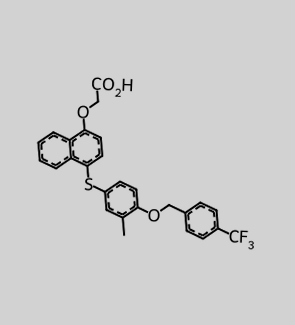 Cc1cc(Sc2ccc(OCC(=O)O)c3ccccc23)ccc1OCc1ccc(C(F)(F)F)cc1